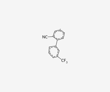 N#Cc1c[c]ccc1-c1cccc(C(F)(F)F)c1